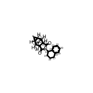 O=C1[C@@H]2[C@@H]3CC[C@@H]([C@@H]4C[C@@H]43)[C@@H]2C(=O)N1C1CCCc2ccccc21